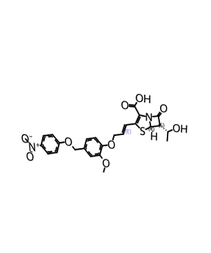 COc1cc(COc2ccc([N+](=O)[O-])cc2)ccc1OC/C=C/C1=C(C(=O)O)N2C(=O)[C@H](C(C)O)[C@H]2S1